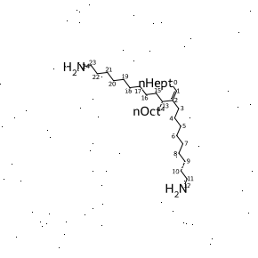 CCCCCCC/C=C(/CCCCCCCCCN)C(CCCCCCCC)CCCCCCCCCN